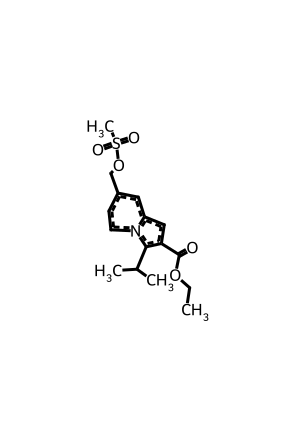 CCOC(=O)c1cc2cc(COS(C)(=O)=O)ccn2c1C(C)C